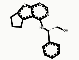 OC[C@@H](Nc1ncnc2sc3c(c12)CCC3)c1ccccc1